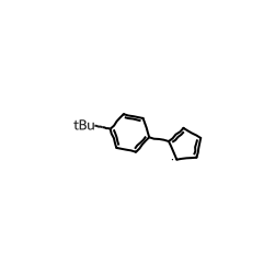 CC(C)(C)c1ccc(C2=CC=C[CH]2)cc1